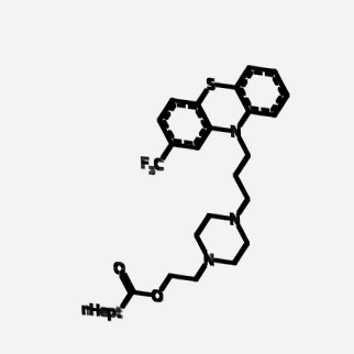 CCCCCCCC(=O)OCCN1CCN(CCCN2c3ccccc3Sc3ccc(C(F)(F)F)cc32)CC1